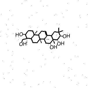 CC1(C)CC2C3=CCC4[C@@]5(C)CC[C@H](O)[C@](C)(CO)C5CC[C@@]4(C)[C@]3(C)C[C@@H](O)[C@@]2(C)[C@@H](O)[C@@H]1O